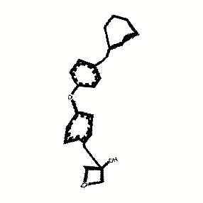 OC1(c2ccc(Oc3ccc(C4CCCCC4)cc3)cc2)COC1